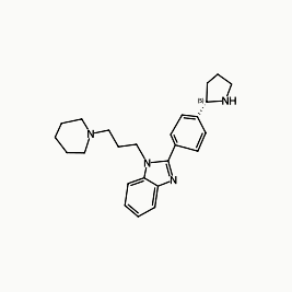 c1ccc2c(c1)nc(-c1ccc([C@@H]3CCCN3)cc1)n2CCCN1CCCCC1